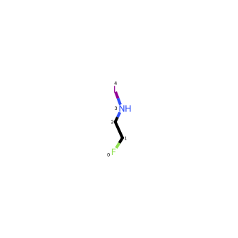 FCCNI